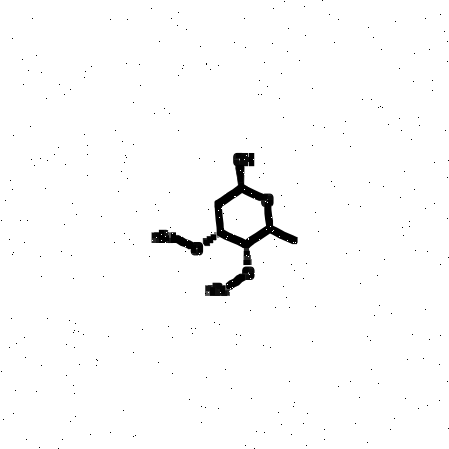 CCCCO[C@@H]1C[C@@H](O)OC(C)[C@@H]1OCCCC